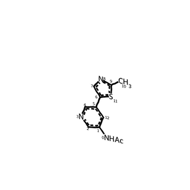 CC(=O)Nc1cncc(-c2cnc(C)s2)c1